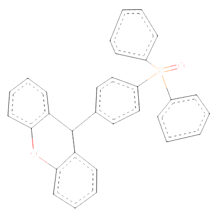 O=P(c1ccccc1)(c1ccccc1)c1ccc(C2c3ccccc3Oc3ccccc32)cc1